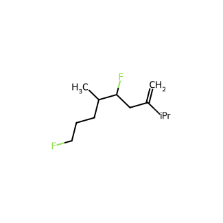 C=C(CC(F)C(C)CCCF)C(C)C